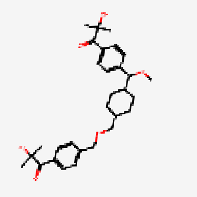 COC(c1ccc(C(=O)C(C)(C)O)cc1)C1CCC(COCc2ccc(C(=O)C(C)(C)O)cc2)CC1